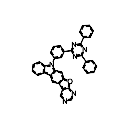 c1ccc(-c2nc(-c3ccccc3)nc(-c3cccc(-n4c5ccccc5c5cc6c(cc54)oc4ncncc46)c3)n2)cc1